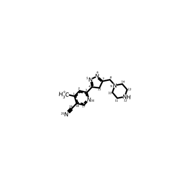 Cc1cc(C2=NN=C(CN3CCNCC3)C2)ncc1C#N